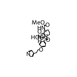 COC(=O)N[C@H]1CCCN(S(=O)(=O)c2ccc(OCCc3ccncc3)cc2)[C@H]1C(=O)NO